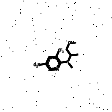 COCC(C)N(C)c1ncc([N+](=O)[O-])cc1C(F)(F)F